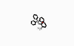 Nc1ccccc1N=P(c1ccccc1)(c1ccccc1)c1ccccc1